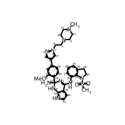 COc1cc(-c2cnn(CCN3CCN(C)CC3)c2)ccc1C1(N)N=C(Nc2cccc3c2N(S(C)(=O)=O)CC3)c2cc[nH]c2N1